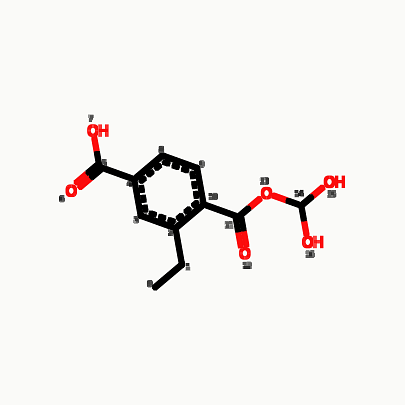 CCc1cc(C(=O)O)ccc1C(=O)OC(O)O